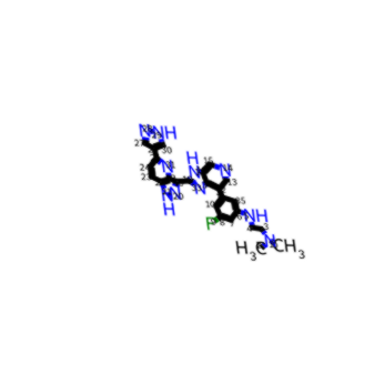 CN(C)CCNc1cc(F)cc(-c2cncc3[nH]c(-c4n[nH]c5ccc(-c6cn[nH]c6)nc45)nc23)c1